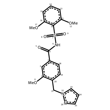 COc1cc(C(=O)NS(=O)(=O)c2c(OC)cccc2OC)ccc1Cn1cccn1